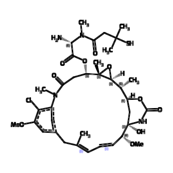 COc1cc2cc(c1Cl)N(C)C(=O)C[C@H](OC(=O)[C@H](N)N(C)C(=O)CC(C)(C)S)[C@]1(C)O[C@H]1[C@H](C)[C@@H]1C[C@@](O)(NC(=O)O1)[C@H](OC)/C=C/C=C(\C)C2